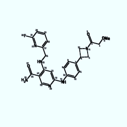 COCC(=O)N1CC(c2ccc(Nc3cc(NCc4cccc(F)n4)c(C(N)=O)cn3)cc2)C1